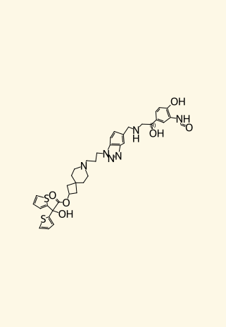 O=CNc1cc([C@@H](O)CNCc2ccc3c(c2)nnn3CCCN2CCC3(CC2)CC(OC(=O)C(O)(c2cccs2)c2cccs2)C3)ccc1O